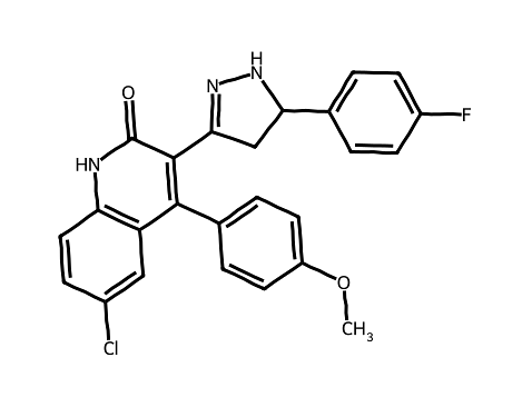 COc1ccc(-c2c(C3=NNC(c4ccc(F)cc4)C3)c(=O)[nH]c3ccc(Cl)cc23)cc1